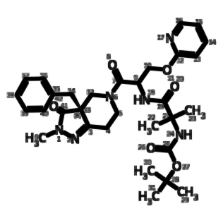 CN1N=C2CCN(C(=O)C(COc3ccccn3)NC(=O)C(C)(C)NC(=O)OC(C)(C)C)C[C@@]2(Cc2ccccc2)C1=O